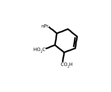 CCCC1CC=CC(C(=O)O)C1C(=O)O